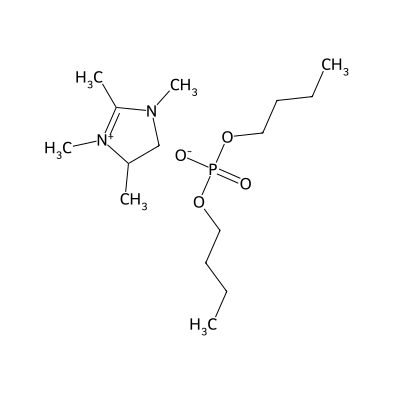 CC1=[N+](C)C(C)CN1C.CCCCOP(=O)([O-])OCCCC